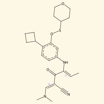 C/C=C(\Nc1ccc(C2CCC2)c(OSC2CCOCC2)c1)C(=O)/C(C#N)=C/N(C)C